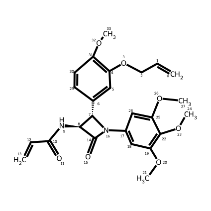 C=CCOc1cc([C@H]2[C@H](NC(=O)C=C)C(=O)N2c2cc(OC)c(OC)c(OC)c2)ccc1OC